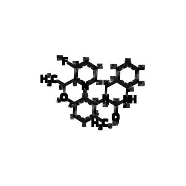 Cc1ccc(OC(C)c2ncccc2F)cc1N1Cc2ccccc2NC1=O